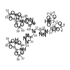 CC1(C)OC2C3OC(C)(C)O[C@H]3C(Cn3cc(CN(Cc4cn(CC5O[C@@H]6OC(C)(C)OC6C6OC(C)(C)O[C@@H]56)nn4)Cc4cn(CC5O[C@@H]6OC(C)(C)OC6C6OC(C)(C)O[C@@H]56)nn4)nn3)O[C@@H]2O1